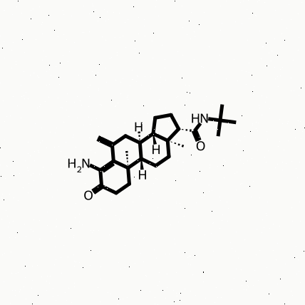 C=C1C[C@H]2[C@@H]3CC[C@H](C(=O)NC(C)(C)C)[C@@]3(C)CC[C@@H]2[C@@]2(C)CCC(=O)C(N)=C12